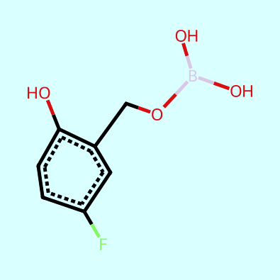 OB(O)OCc1cc(F)ccc1O